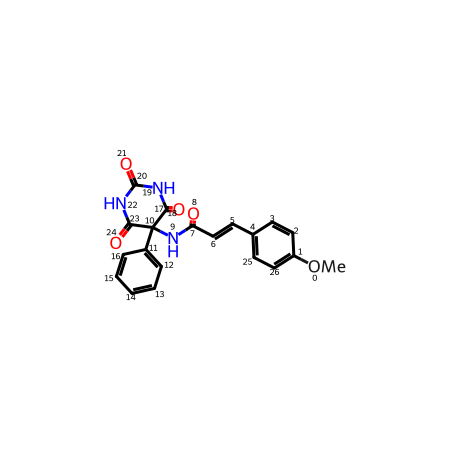 COc1ccc(C=CC(=O)NC2(c3ccccc3)C(=O)NC(=O)NC2=O)cc1